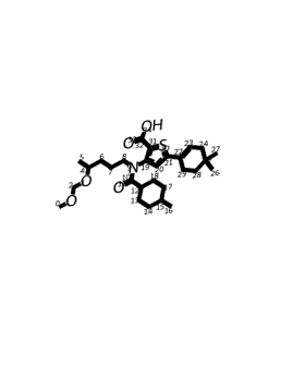 COCOC(C)CCCN(C(=O)C1CCC(C)CC1)c1cc(C2=CCC(C)(C)CC2)sc1C(=O)O